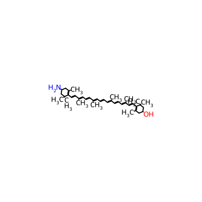 CC1=C(/C=C/C(C)=C/C=C/C(C)=C/C=C/C=C(C)/C=C/C=C(C)/C=C/C2=C(C)CC(O)CC2(C)C)C(C)(C)CC(N)C1